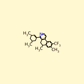 Cc1cc2c(cc1C(F)(F)F)-c1ccnc(C3=CC(C)CC(C)C3)c1CC2C